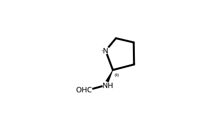 O=CN[C@@H]1CCC[N]1